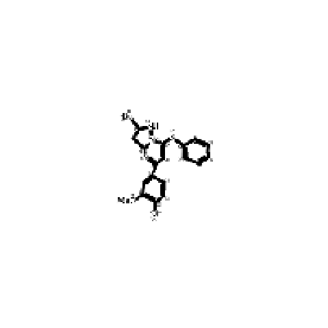 COc1cc(C2=NC3CC(C(C)(C)C)NN3C(Sc3ccccc3)=C2)ccc1O